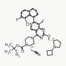 CC(C)(C)OC(=O)N1CCN(c2nc(OC[C@@H]3CCCN3C3CCC3)nc3c(F)c(-c4cccc5ccc(F)c(Cl)c45)ncc23)C[C@@H]1CC#N